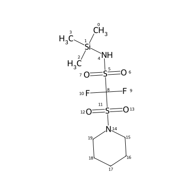 C[Si](C)(C)NS(=O)(=O)C(F)(F)S(=O)(=O)N1CCCCC1